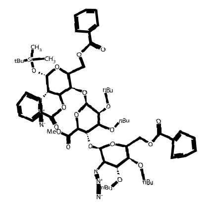 CCCCOC1[C@H](O[C@H]2OC(COC(=O)c3ccccc3)[C@@H](OCCCC)[C@H](OCCCC)C2N=[N+]=[N-])C(C(=O)OC)O[C@@H](O[C@@H]2C(COC(=O)c3ccccc3)O[C@@H](O[Si](C)(C)C(C)(C)C)[C@@H](N=[N+]=[N-])C2OC(=O)c2ccccc2)[C@H]1OCCCC